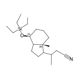 CC[Si](CC)(CC)O[C@H]1CCC[C@]2(C)C(C(C)CC#N)CCC12